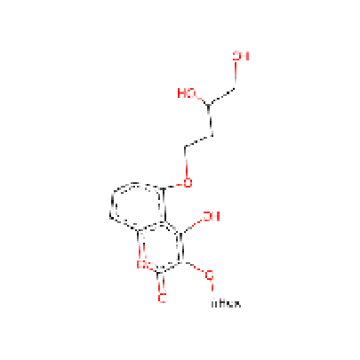 CCCCCCOc1c(O)c2c(OCCC(O)CO)cccc2oc1=O